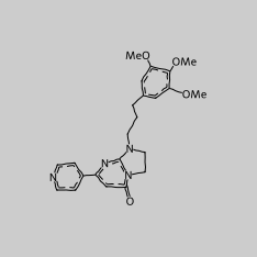 COc1cc(CCCN2CCn3c2nc(-c2ccncc2)cc3=O)cc(OC)c1OC